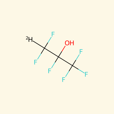 [2H]C(F)(F)C(O)(F)C(F)(F)F